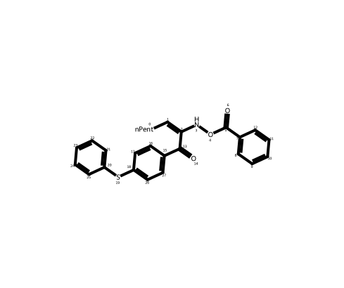 CCCCCC=C(NOC(=O)c1ccccc1)C(=O)c1ccc(Sc2ccccc2)cc1